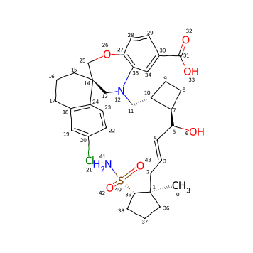 C[C@]1(C/C=C/C(O)[C@@H]2CC[C@H]2CN2C[C@@]3(CCCc4cc(Cl)ccc43)COc3ccc(C(=O)O)cc32)CCC[C@@H]1S(N)(=O)=O